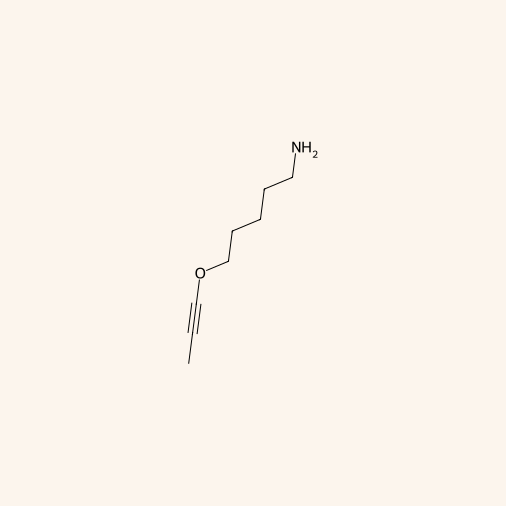 CC#COCCCCCN